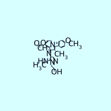 CC(=O)[O-].CNc1c(/N=C2\C(C)=C(c3ccc(OC)cc3)[n+]3ccccc32)cnn1CCO